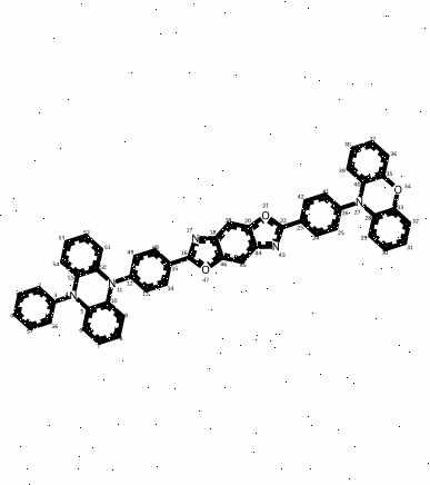 c1ccc(N2c3ccccc3N(c3ccc(-c4nc5cc6oc(-c7ccc(N8c9ccccc9Oc9ccccc98)cc7)nc6cc5o4)cc3)c3ccccc32)cc1